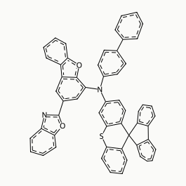 c1ccc(-c2ccc(N(c3ccc4c(c3)Sc3ccccc3C43c4ccccc4-c4ccccc43)c3cc(-c4nc5ccccc5o4)cc4c3oc3ccccc34)cc2)cc1